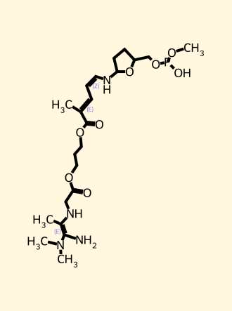 COP(O)OCC1CCC(N/C=C\C=C(/C)C(=O)OCCCOC(=O)CN/C(C)=C(\N)N(C)C)O1